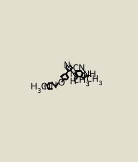 Cc1cc2c(C)c(Nc3c(C#N)cncc3-c3ccc(OCCN4CCN(C)CC4)cc3)ccc2[nH]1